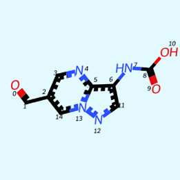 O=Cc1cnc2c(NC(=O)O)cnn2c1